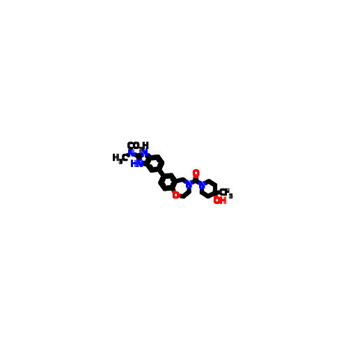 CN(C(=O)O)c1nc2ccc(-c3ccc4c(c3)CN(C(=O)N3CCC(O)(C(F)(F)F)CC3)CCO4)cc2[nH]1